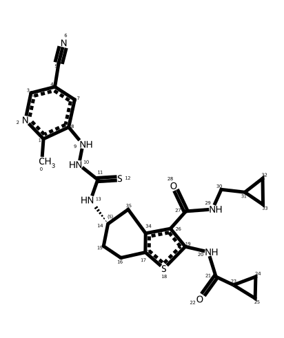 Cc1ncc(C#N)cc1NNC(=S)N[C@H]1CCc2sc(NC(=O)C3CC3)c(C(=O)NCC3CC3)c2C1